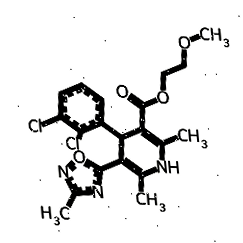 COCCOC(=O)C1=C(C)NC(C)=C(c2nc(C)no2)C1c1cccc(Cl)c1Cl